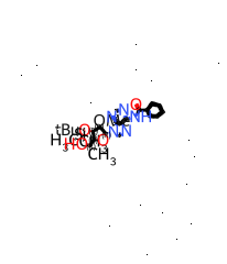 CO[C@@H]1[C@H](O[Si](C)(C)C(C)(C)C)[C@@H]([C@@H](C)O)O[C@H]1n1cnc2c(NC(=O)c3ccccc3)ncnc21